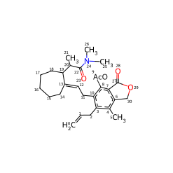 C=CCc1c(C)c2c(c(OC(C)=O)c1CC=C1CCCCCC1C(C)C(=O)N(C)C)C(=O)OC2